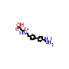 N=C(N)c1ccc(-c2ccc(CCNC(=O)CCC(=O)O)cc2)cc1